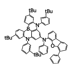 CC(C)(C)c1cccc(N2c3cc(C(C)(C)C)ccc3B3c4ccc(C(C)(C)C)cc4N(c4cccc(C(C)(C)C)c4)c4cc(N(c5ccccc5)c5cccc6c5oc5c(-c7ccccc7)cccc56)cc2c43)c1